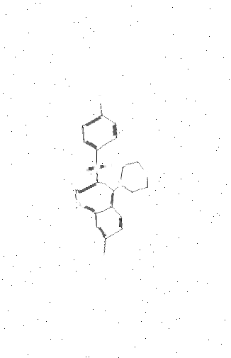 O=S(=O)(c1ccc(F)cc1)c1cnc2cc(Cl)ccc2c1N1CCOCC1